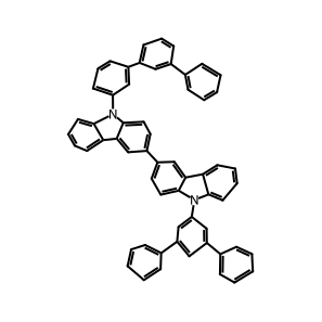 c1ccc(-c2cccc(-c3cccc(-n4c5ccccc5c5cc(-c6ccc7c(c6)c6ccccc6n7-c6cc(-c7ccccc7)cc(-c7ccccc7)c6)ccc54)c3)c2)cc1